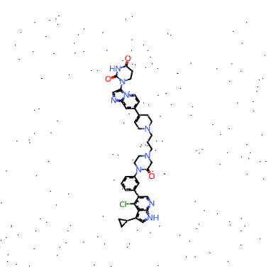 O=C1CCN(c2cnc3cc(C4=CCN(CCCN5CCN(c6cccc(-c7cnc8[nH]cc(C9CC9)c8c7Cl)c6)C(=O)C5)CC4)ccn23)C(=O)N1